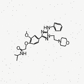 COc1cc(-c2nc(Nc3ccccc3)n(CCN3CCOCC3)n2)ccc1OCC(=O)NC(C)C